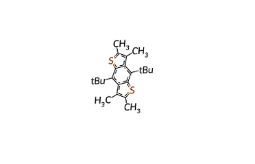 Cc1sc2c(C(C)(C)C)c3c(C)c(C)sc3c(C(C)(C)C)c2c1C